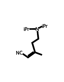 C/C(=C/C#N)CCN(C(C)C)C(C)C